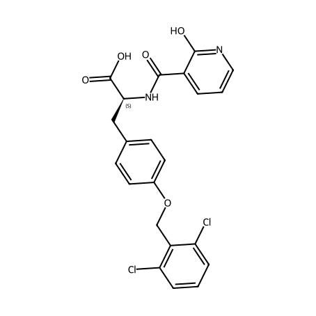 O=C(N[C@@H](Cc1ccc(OCc2c(Cl)cccc2Cl)cc1)C(=O)O)c1cccnc1O